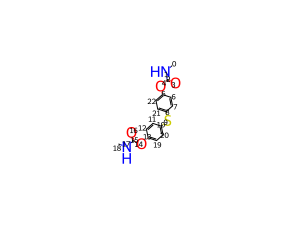 CNC(=O)Oc1ccc(Sc2ccc(OC(=O)NC)cc2)cc1